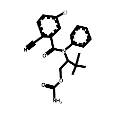 CC(C)(C)C(COC(N)=O)N(C(=O)c1cc(Cl)ccc1C#N)c1ccccc1